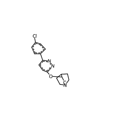 Clc1ccc(-c2ccc(OC3CN4CCC3CC4)nn2)cc1